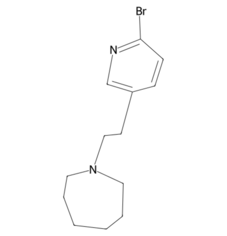 Brc1ccc(CCN2CCCCCC2)cn1